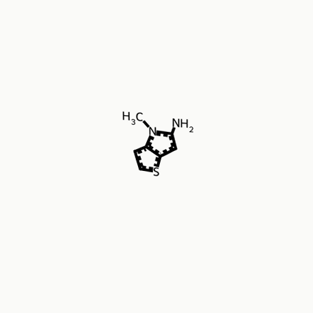 Cn1c(N)cc2sccc21